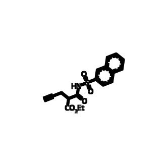 C#CCC(C(=O)NS(=O)(=O)c1ccc2ccccc2c1)C(=O)OCC